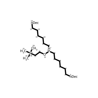 CCCCCCCCCCCCCCCC[PH-](CCCCCCCCCCCCCCCC)OCC[N+](C)(C)C